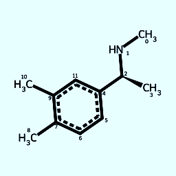 CN[C@@H](C)c1ccc(C)c(C)c1